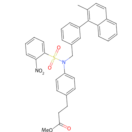 COC(=O)CCc1ccc(N(Cc2cccc(-c3c(C)ccc4ccccc34)c2)S(=O)(=O)c2ccccc2[N+](=O)[O-])cc1